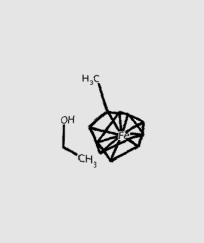 CCO.C[C]12[CH]3[CH]4[CH]5[CH]1[Fe]45321678[CH]2[CH]1[CH]6[CH]7[CH]28